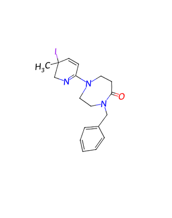 CC1(I)C=CC(N2CCC(=O)N(Cc3ccccc3)CC2)=NC1